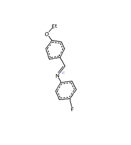 CCOc1ccc(/C=N/c2ccc(F)cc2)cc1